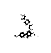 C=CC(=O)N1CCN(C(=O)CNc2cc(-c3ccc(C)cc3)c(Cl)cc2OC)CC1